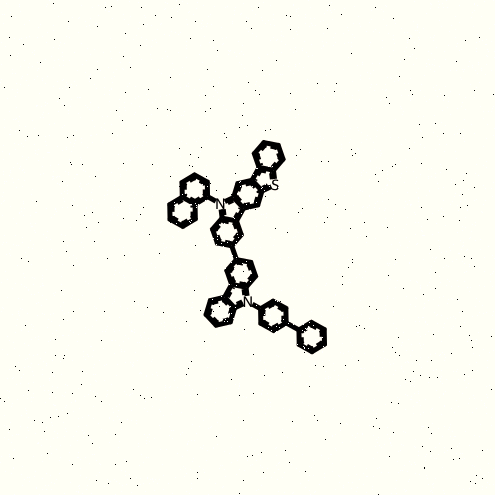 c1ccc(-c2ccc(-n3c4ccccc4c4cc(-c5ccc6c(c5)c5cc7sc8ccccc8c7cc5n6-c5cccc6ccccc56)ccc43)cc2)cc1